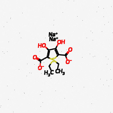 CCS1(CC)C(C(=O)[O-])=C(O)C(O)=C1C(=O)[O-].[Na+].[Na+]